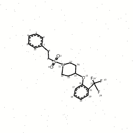 O=S(=O)(C[CH]c1ccccc1)N1CCC(Oc2ccccc2C(F)(F)F)CC1